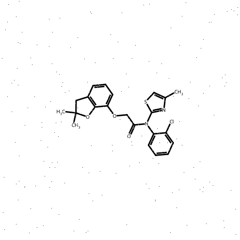 Cc1csc(N(C(=O)COc2cccc3c2OC(C)(C)C3)c2ccccc2Cl)n1